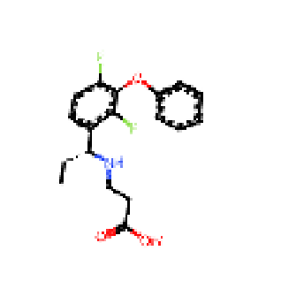 CC[C@@H](NCCC(=O)O)c1ccc(F)c(Oc2ccccc2)c1F